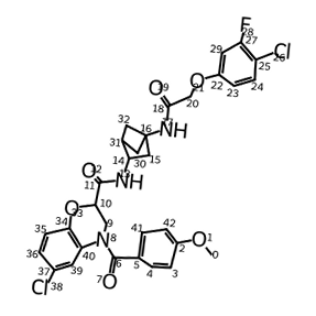 COc1ccc(C(=O)N2CC(C(=O)NC3CC4(NC(=O)COc5ccc(Cl)c(F)c5)CC3C4)Oc3ccc(Cl)cc32)cc1